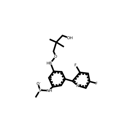 C[S+]([O-])Nc1cc(BOCC(C)(C)CO)cc(-c2ncc(F)cc2F)c1